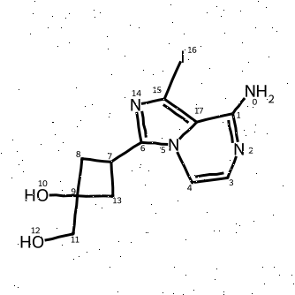 Nc1nccn2c(C3CC(O)(CO)C3)nc(I)c12